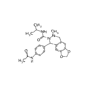 CC(=O)Nc1ccc(C2c3cc4c(cc3CN(C)N2C(=O)NC(C)C)OCO4)cc1